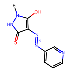 CCn1[nH]c(=O)c(/N=N/c2cccnc2)c1O